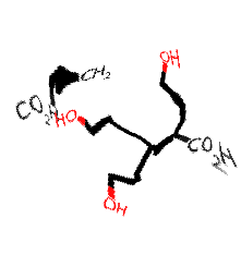 C=CC(=O)O.O=C(O)C(CCO)=C(CCO)CCO